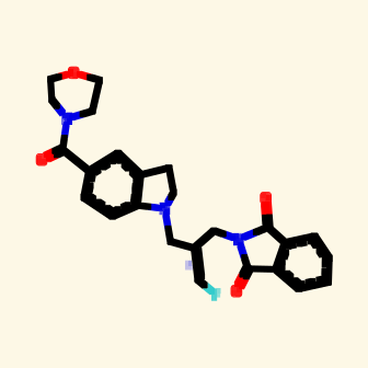 O=C(c1ccc2c(c1)CCN2C/C(=C/F)CN1C(=O)c2ccccc2C1=O)N1CCOCC1